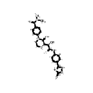 CN(C)C(=O)c1ccc(N2CCO[C@H]([C@@H](O)C(=O)Nc3ccc(-c4noc(=O)[nH]4)cc3)C2=O)cc1